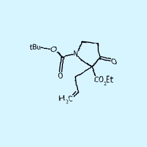 C=CCC1(C(=O)OCC)C(=O)CCN1C(=O)OC(C)(C)C